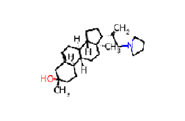 C=C(CN1CCCC1)[C@H]1CC[C@H]2[C@@H]3CC=C4C[C@@](C)(O)CC[C@@H]4[C@H]3CC[C@]12C